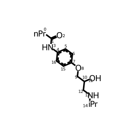 CCCC(=O)Nc1ccc(OCC(O)CNC(C)C)cc1